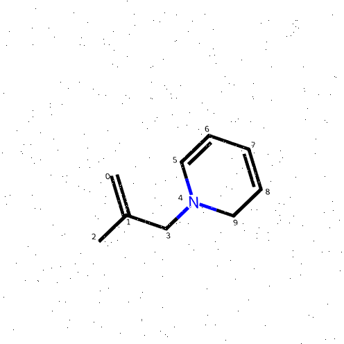 C=C(C)CN1C=CC=CC1